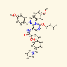 CCCCOc1nc2c(c(N(Cc3ccc(OC)cc3)Cc3ccc(OC)cc3)n1)NC(=O)C(O)C2Cc1ccc(CN2CCCC2)cc1